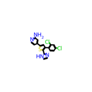 Nc1cc(-c2cc(-c3ccc(Cl)cc3Cl)c(-c3ncc[nH]3)s2)ccn1